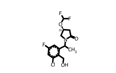 CC(c1cc(F)cc(Cl)c1CO)N1C[C@@H](OC(F)F)CC1=O